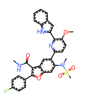 CNC(=O)c1c(-c2ccc(F)cc2)oc2cc(N(C)S(C)(=O)=O)c(-c3ccc(OC)c(-c4cc5ccccc5[nH]4)n3)cc12